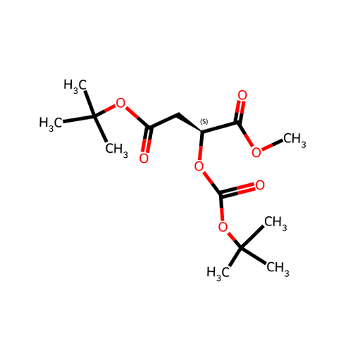 COC(=O)[C@H](CC(=O)OC(C)(C)C)OC(=O)OC(C)(C)C